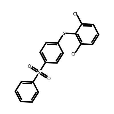 O=S(=O)(c1ccccc1)c1ccc(Sc2c(Cl)cccc2Cl)cc1